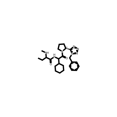 CCC(NC)C(=O)NC(C(=O)N1CCC[C@H]1c1nnnn1Cc1ccccc1)C1CCCCC1